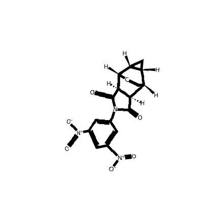 O=C1[C@@H]2[C@@H]3CC[C@@H]([C@@H]4C[C@@H]43)[C@@H]2C(=O)N1c1cc([N+](=O)[O-])cc([N+](=O)[O-])c1